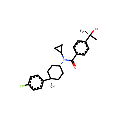 C[C@](O)(c1ccc(C(=O)N(C2CC2)[C@H]2CC[C@](C#N)(c3ccc(F)cc3)CC2)cc1)C(F)(F)F